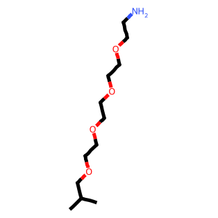 CC(C)COCCOCCOCCOCCN